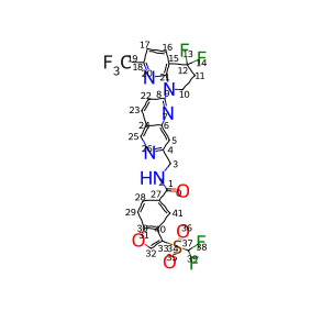 O=C(NCc1cc2nc(N3CCC(F)(F)c4ccc(C(F)(F)F)nc43)ccc2cn1)c1ccc2occ(S(=O)(=O)C(F)F)c2c1